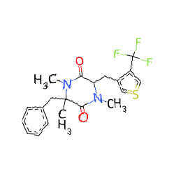 CN1C(=O)C(C)(Cc2ccccc2)N(C)C(=O)C1Cc1cscc1C(F)(F)F